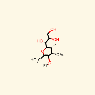 CCOC1=C(C(=O)O)O[C@@H]([C@H](O)[C@H](O)CO)[C@H](C)[C@H]1OC(C)=O